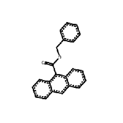 O=C(OCc1ccccc1)c1c2ccccc2cc2ccccc12